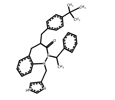 CC(c1ccccc1)N1C(=O)C(Cc2ccc(C(C)(C)C)cc2)Cc2ccccc2N1Cc1c[nH]cn1